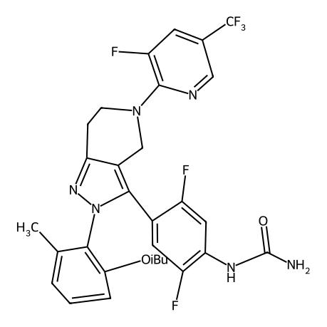 Cc1cccc(OCC(C)C)c1-n1nc2c(c1-c1cc(F)c(NC(N)=O)cc1F)CN(c1ncc(C(F)(F)F)cc1F)CC2